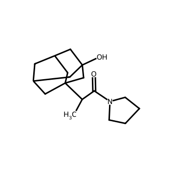 CC(C(=O)N1CCCC1)C12CC3CC(CC(O)(C3)C1)C2